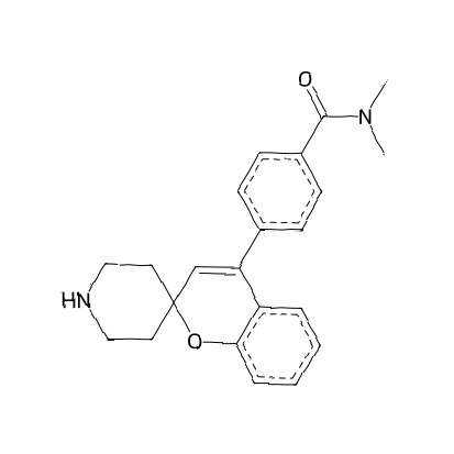 CN(C)C(=O)c1ccc(C2=CC3(CCNCC3)Oc3ccccc32)cc1